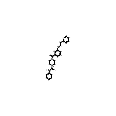 O=C(Nc1ccccc1)N1CCN(C(=O)c2cccc(OCCc3ccccn3)c2)CC1